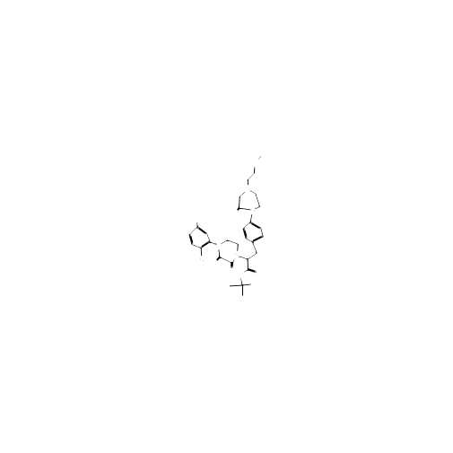 COCCN1CCN(c2ccc(CC(C(=O)OC(C)(C)C)N3CCN(c4cc(Cl)ccc4N)C(=O)C3=O)cc2)C(=O)C1